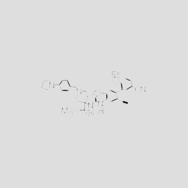 C#Cc1cc(NC(=O)NC2(C(=O)OC)CCN(Cc3ccc(N4CCCC4)cc3)CC2)c(Cl)cc1-c1cc(C#N)ccc1OCC